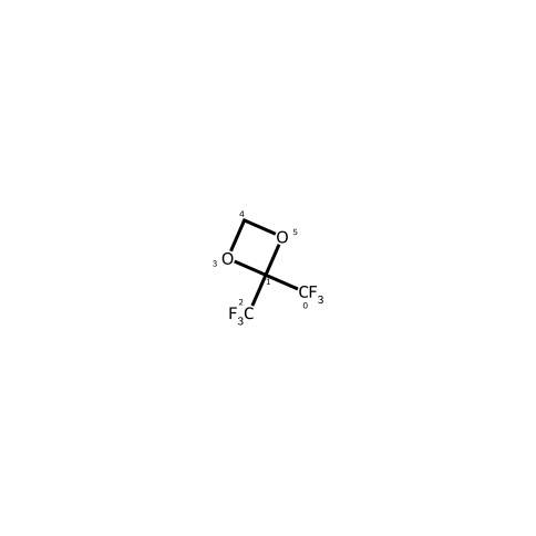 FC(F)(F)C1(C(F)(F)F)OCO1